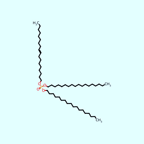 CCCCCCCCC=CCCCCCCCCOP(=O)(OCCCCCCCCCCCCCCCCCC)OCCCCCCCCCCCCCCCCCC